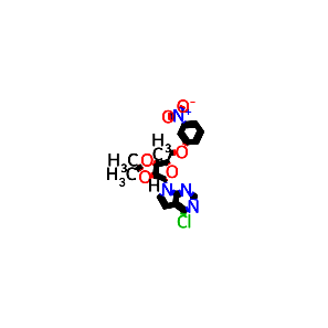 CC1(C)O[C@H]2[C@H](n3ccc4c(Cl)ncnc43)O[C@H](COc3cccc([N+](=O)[O-])c3)[C@@]2(C)O1